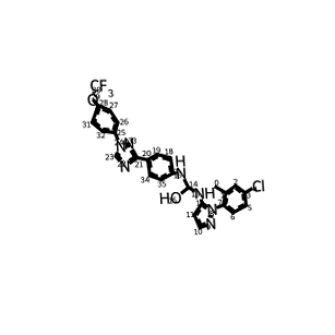 Cc1cc(Cl)ccc1-n1nccc1NC(O)Nc1ccc(-c2ncn(-c3ccc(OC(F)(F)F)cc3)n2)cc1